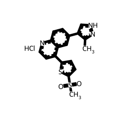 Cc1n[nH]cc1-c1ccc2nccc(-c3ccc(S(C)(=O)=O)s3)c2c1.Cl